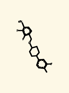 CCCc1ccc(COC2CCC(c3ccc(C)c(F)c3)CC2)c(F)c1F